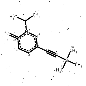 CC(C)n1nc(C#C[Si](C)(C)C)ccc1=O